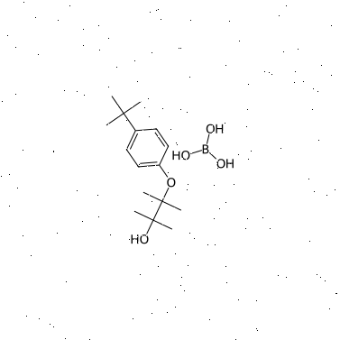 CC(C)(C)c1ccc(OC(C)(C)C(C)(C)O)cc1.OB(O)O